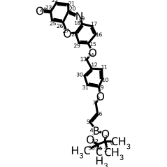 CC1(C)OB(C=CCOc2ccc(COc3ccc4nc5ccc(=O)cc-5oc4c3)cc2)OC1(C)C